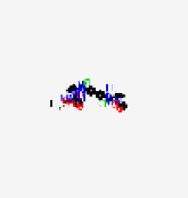 COC(=O)N[C@H](C(=O)N1C2CC2C[C@H]1c1nc(Cl)c(-c2ccc(-c3ccc(-c4[nH]c([C@@H]5CC6CC6N5C(=O)[C@H]5CCCO5)nc4Cl)cc3)cc2)[nH]1)C1CCOCC1